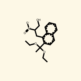 CCOC(C)(OCC)c1ccc2ccccc2c1CC(CO)[N+](=O)[O-]